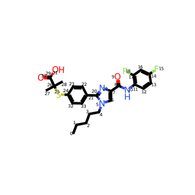 CCCCCn1cc(C(=O)Nc2ccc(F)cc2F)nc1-c1ccc(SC(C)(C)C(=O)O)cc1